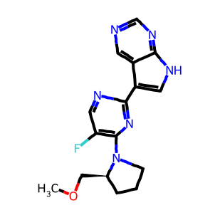 COC[C@@H]1CCCN1c1nc(-c2c[nH]c3ncncc23)ncc1F